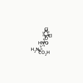 NC(CCCNC(=O)COc1ccc(Cl)cc1Cl)C(=O)O